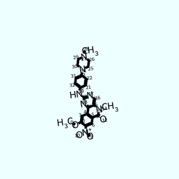 COc1cc2c(cc1[N+](=O)[O-])c(=O)n(C)c1cnc(Nc3ccc(N4CCN(C)CC4)cc3)nc21